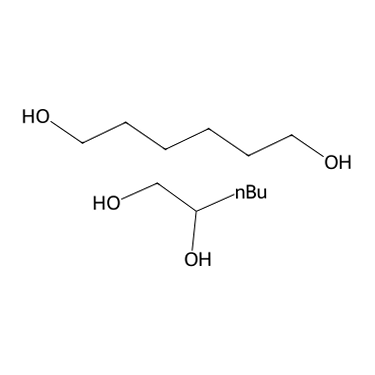 CCCCC(O)CO.OCCCCCCO